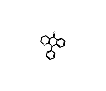 O=c1c2c(n(-c3ccccc3)c3ccccc13)OCCC2